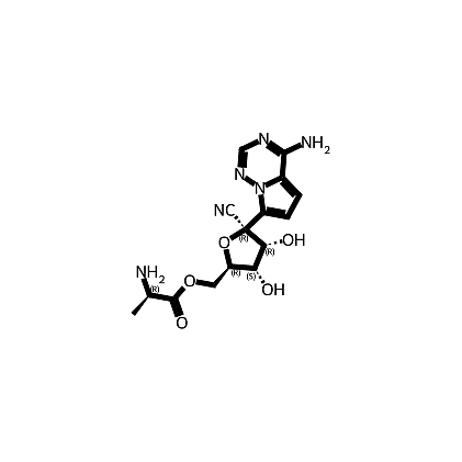 C[C@@H](N)C(=O)OC[C@H]1O[C@@](C#N)(c2ccc3c(N)ncnn23)[C@H](O)[C@@H]1O